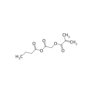 C=C(C)C(=O)OCC(=O)OC(=O)CCC